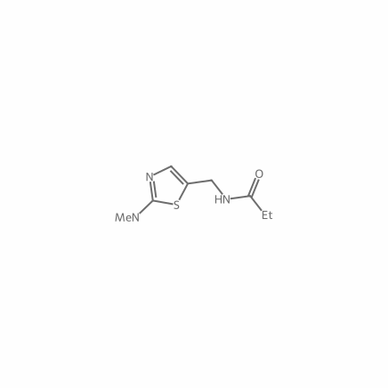 CCC(=O)NCc1cnc(NC)s1